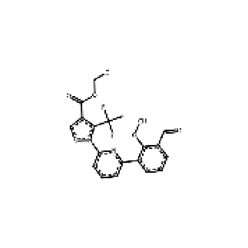 CCOC(=O)c1cnn(-c2cccc(-c3cccc(C=O)c3OC)n2)c1C(F)(F)F